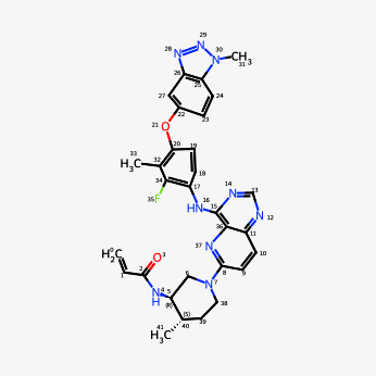 C=CC(=O)N[C@H]1CN(c2ccc3ncnc(Nc4ccc(Oc5ccc6c(c5)nnn6C)c(C)c4F)c3n2)CC[C@@H]1C